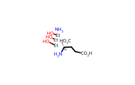 CCO.CCO.CCO.N.N[C@@H](CCC(=O)O)C(=O)O